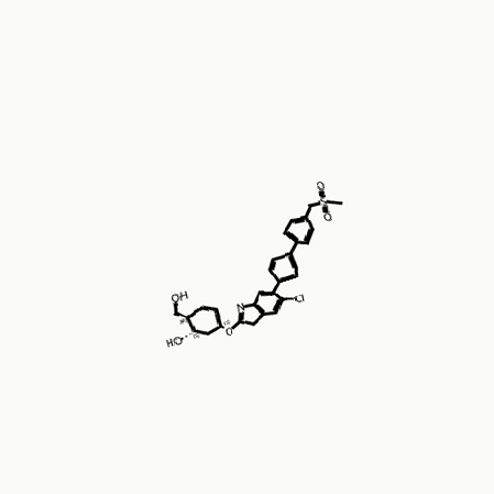 CS(=O)(=O)Cc1ccc(-c2ccc(-c3cc4c(cc3Cl)CC(O[C@H]3CC[C@H](CO)[C@@H](O)C3)=N4)cc2)cc1